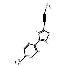 CC#Cc1nc(-c2ccc(C)cc2)no1